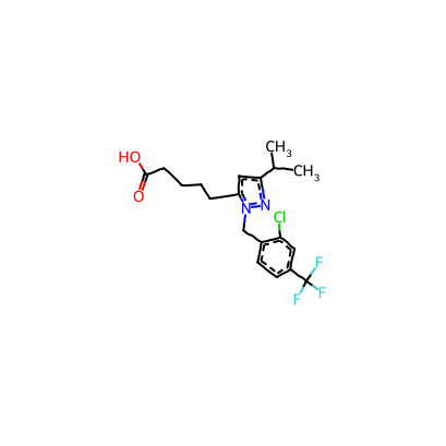 CC(C)c1cc(CCCCC(=O)O)n(Cc2ccc(C(F)(F)F)cc2Cl)n1